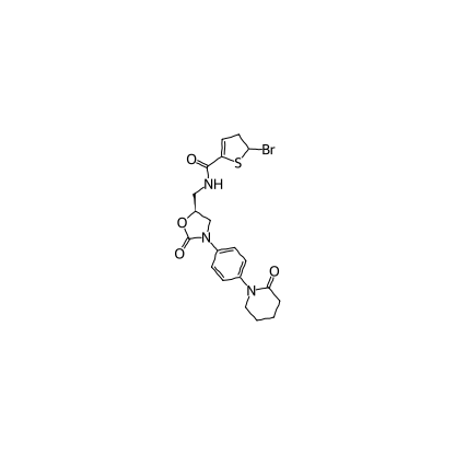 O=C(NC[C@H]1CN(c2ccc(N3CCCCC3=O)cc2)C(=O)O1)C1=CCC(Br)S1